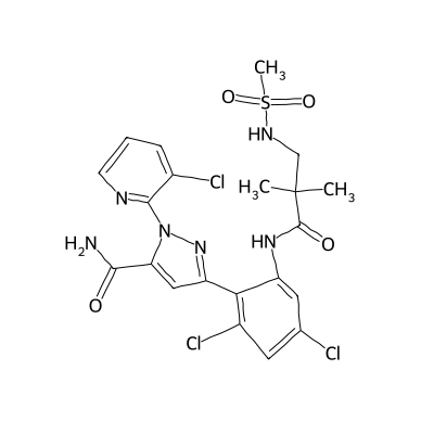 CC(C)(CNS(C)(=O)=O)C(=O)Nc1cc(Cl)cc(Cl)c1-c1cc(C(N)=O)n(-c2ncccc2Cl)n1